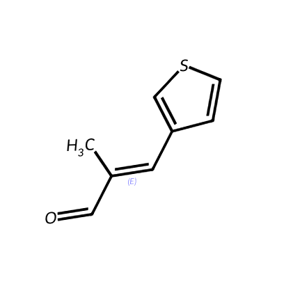 C/C(C=O)=C\c1ccsc1